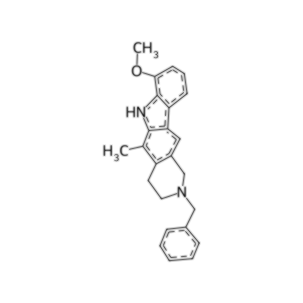 COc1cccc2c1[nH]c1c(C)c3c(cc12)CN(Cc1ccccc1)CC3